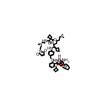 CN(C)CCCCC(NC(=O)C1(C(=O)NCCN(C)CCN2C(=O)C=CC2=O)CCC1)C(Nc1ccc(COc2ccccc2C2=CC(N3CC4CCC(C3)N4c3ccnc(OC4CCC4)c3)=C(N)NN2)cc1)=C1CCC1